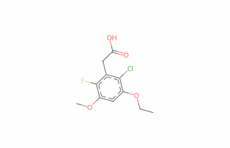 CCOc1cc(OC)c(F)c(CC(=O)O)c1Cl